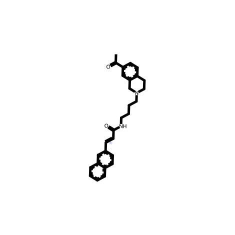 CC(=O)c1ccc2c(c1)CN(CCCCNC(=O)/C=C/c1ccc3ccccc3c1)CC2